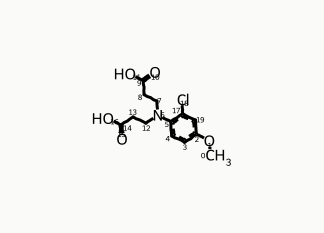 COc1ccc(N(CCC(=O)O)CCC(=O)O)c(Cl)c1